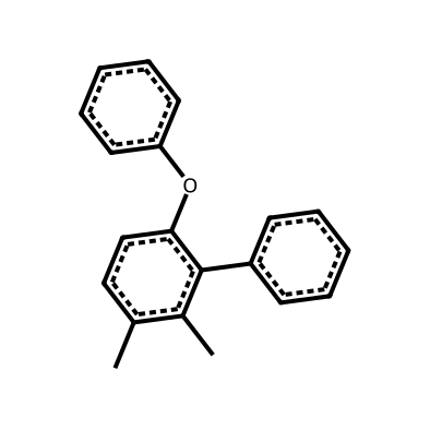 Cc1ccc(Oc2ccccc2)c(-c2ccccc2)c1C